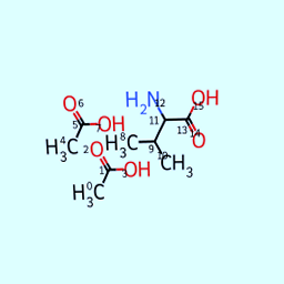 CC(=O)O.CC(=O)O.CC(C)C(N)C(=O)O